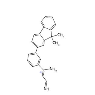 CC1(C)c2ccccc2-c2ccc(-c3cccc(/C(N)=C/C=N)c3)cc21